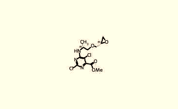 COC(=O)c1nc(Cl)nc(N[C@H](C)COC[C@@H]2CO2)c1Cl